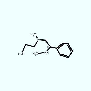 CN[C@@H](CN(C)CCO)c1ccccc1